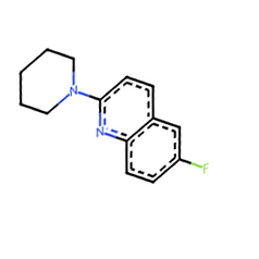 Fc1ccc2nc(N3CCCCC3)ccc2c1